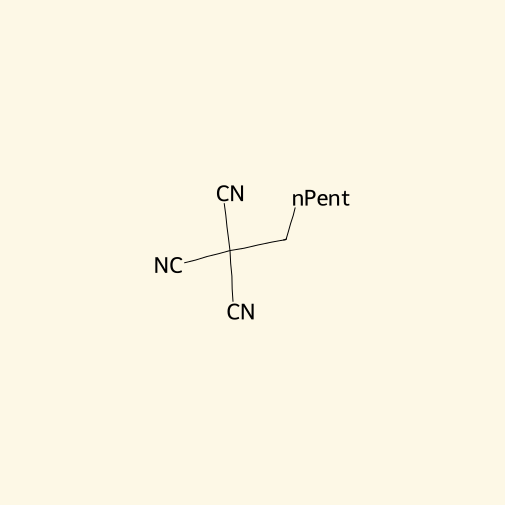 CCCCCCC(C#N)(C#N)C#N